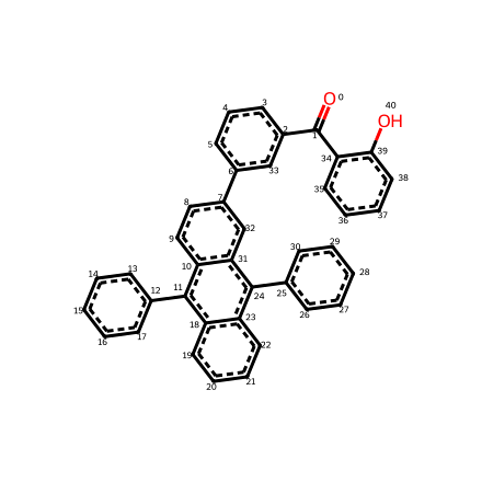 O=C(c1cccc(-c2ccc3c(-c4ccccc4)c4ccccc4c(-c4ccccc4)c3c2)c1)c1ccccc1O